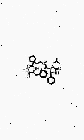 COCCC1(C(=O)N[C@@H](Cc2ccc([C@]3(c4ccccc4)NC(=O)[C@@H](CC(C)C)N3C(C)=O)cc2)C(=O)O)CCCC1